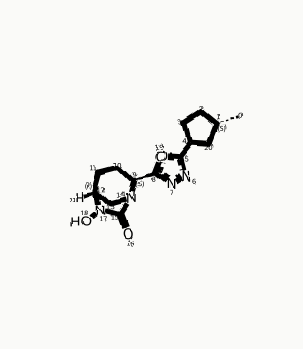 C[C@H]1CCC(c2nnc([C@@H]3CC[C@@H]4CN3C(=O)N4O)o2)C1